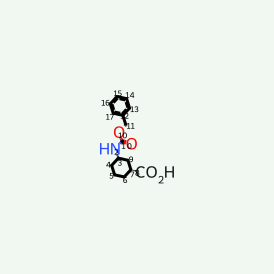 O=C(N[C@@H]1CCC[C@@H](C(=O)O)C1)OCc1ccccc1